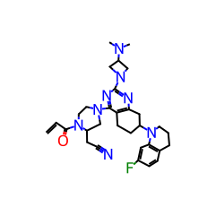 C=CC(=O)N1CCN(c2nc(N3CC(N(C)C)C3)nc3c2CCC(N2CCCc4ccc(F)cc42)C3)CC1CC#N